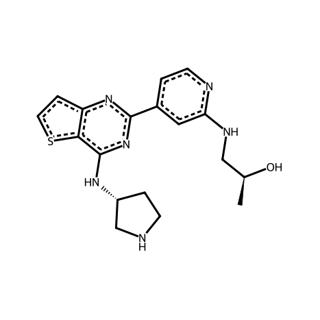 C[C@H](O)CNc1cc(-c2nc(N[C@@H]3CCNC3)c3sccc3n2)ccn1